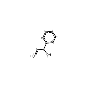 C=CC(O)c1[c]cccc1